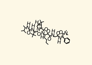 CCCCC(NC(=O)[C@@H]1C2[C@H](CN1C(=O)[C@@H](NC(=O)NC(C)C(C)C)C(C)(C)C)C2(C)C)C(=O)C(=O)NCC(=O)N[C@H](C(=O)N(C)C)c1ccccc1